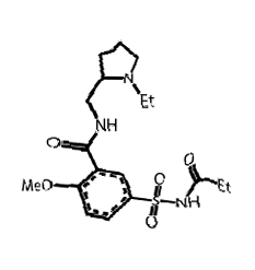 CCC(=O)NS(=O)(=O)c1ccc(OC)c(C(=O)NCC2CCCN2CC)c1